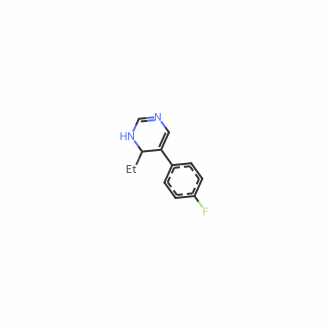 CCC1NC=NC=C1c1ccc(F)cc1